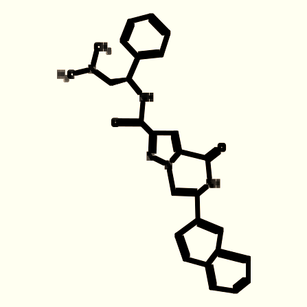 CN(C)C[C@H](NC(=O)c1cc2c(=O)[nH]c(-c3ccc4ccccc4c3)cn2n1)c1ccccc1